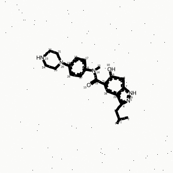 CC(C)Cc1n[nH]c2cc(O)c(C(=O)N(C)c3ccc(N4CCNCC4)cc3)cc12